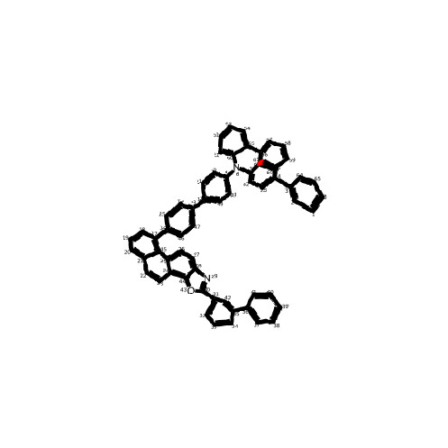 c1ccc(-c2ccc(N(c3ccc(-c4ccc(-c5cccc6ccc7c(ccc8nc(-c9cccc(-c%10ccccc%10)c9)oc87)c56)cc4)cc3)c3ccccc3-c3ccccc3)cc2)cc1